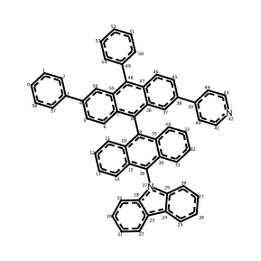 c1ccc(-c2ccc3c(-c4c5ccccc5c(-n5c6ccccc6c6ccccc65)c5ccccc45)c4cc(-c5ccncc5)ccc4c(-c4ccccc4)c3c2)cc1